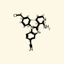 N#Cc1ccc2c(c1)nc(-c1cccnc1N)n2-c1ccc(CCl)cc1